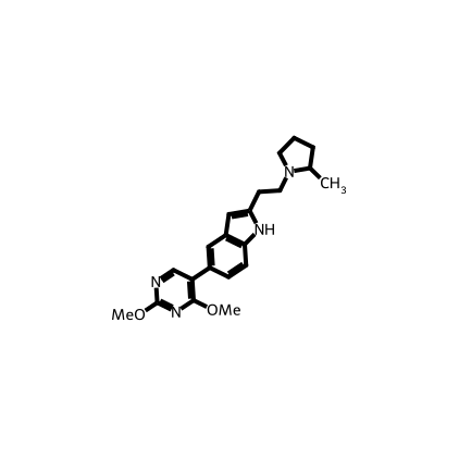 COc1ncc(-c2ccc3[nH]c(CCN4CCCC4C)cc3c2)c(OC)n1